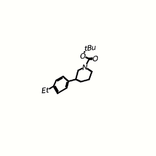 CCc1ccc(C2CCCN(C(=O)OC(C)(C)C)C2)cc1